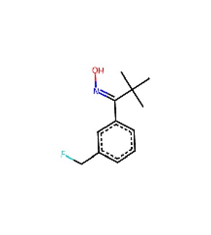 CC(C)(C)C(=NO)c1cccc(CF)c1